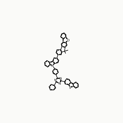 CC1(C)c2cc(-c3ccc4c(c3)c3ccccc3n4-c3ccc(-c4nc(-c5ccccc5)nc(-c5ccc6c(c5)sc5ccccc56)n4)cc3)ccc2-c2cc3c(cc21)oc1ccccc13